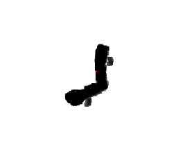 O=S(=O)(Oc1ccc(C(F)(F)C(F)(F)C(F)(F)C(F)(F)c2ccc(Oc3ccc(C(F)(F)C(F)(F)C(F)(F)C(F)(F)c4ccc(OS(=O)(=O)C(F)(F)F)cc4)cc3)cc2)cc1)C(F)(F)F